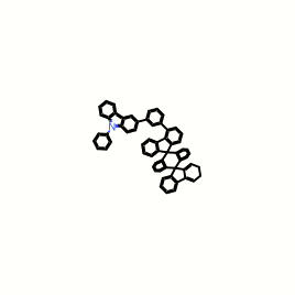 C1=C2C(=CCC1)C1(c3ccccc32)c2ccccc2C2(c3ccccc3-c3c(-c4cccc(-c5ccc6c(c5)c5ccccc5n6-c5ccccc5)c4)cccc32)c2ccccc21